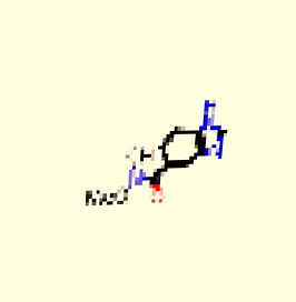 CON(C)C(=O)C1CCc2[nH]cnc2C1